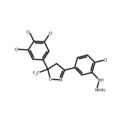 CC(=O)NNc1cc(C2=NOC(c3cc(Cl)c(Cl)c(Cl)c3)(C(F)(F)F)C2)ccc1Cl